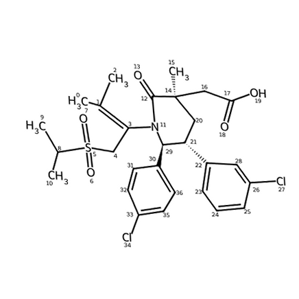 CC(C)=C(CS(=O)(=O)C(C)C)N1C(=O)[C@@](C)(CC(=O)O)C[C@H](c2cccc(Cl)c2)[C@H]1c1ccc(Cl)cc1